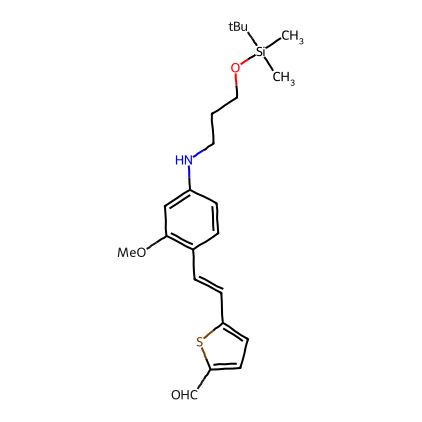 COc1cc(NCCCO[Si](C)(C)C(C)(C)C)ccc1C=Cc1ccc(C=O)s1